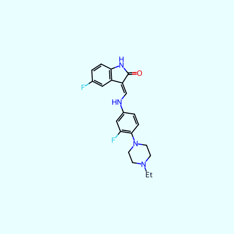 CCN1CCN(c2ccc(N/C=C3/C(=O)Nc4ccc(F)cc43)cc2F)CC1